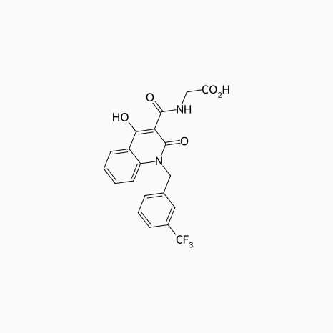 O=C(O)CNC(=O)c1c(O)c2ccccc2n(Cc2cccc(C(F)(F)F)c2)c1=O